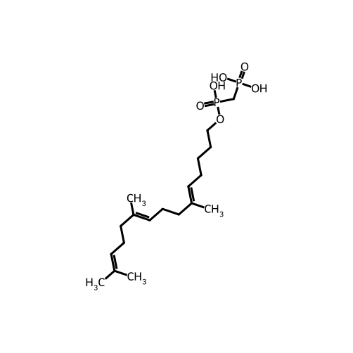 CC(C)=CCCC(C)=CCCC(C)=CCCCCOP(=O)(O)CP(=O)(O)O